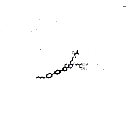 C=C(C)C(=O)OCCC/C(=C/C(=C\C)c1ccc(-c2ccc(C3CCC(CCCCC)CC3)cc2)cc1CC)C(=C)OCCC(CO)CO